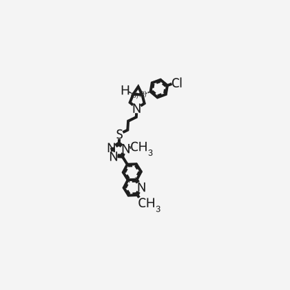 Cc1ccc2cc(-c3nnc(SCCCN4C[C@H]5C[C@@]5(c5ccc(Cl)cc5)C4)n3C)ccc2n1